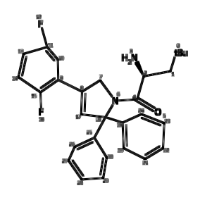 CC(C)(C)C[C@H](N)C(=O)N1CC(c2cc(F)ccc2F)=CC1(c1ccccc1)c1ccccc1